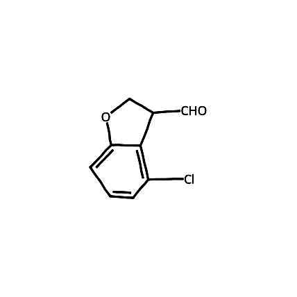 O=CC1COc2cccc(Cl)c21